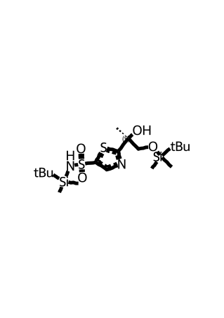 CC(C)(C)[Si](C)(C)NS(=O)(=O)c1cnc([C@@](C)(O)CO[Si](C)(C)C(C)(C)C)s1